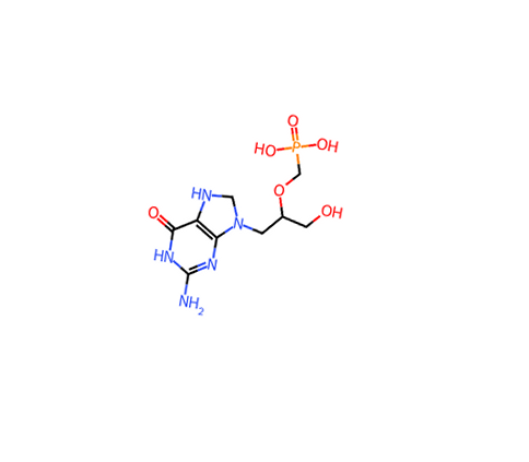 Nc1nc2c(c(=O)[nH]1)NCN2CC(CO)OCP(=O)(O)O